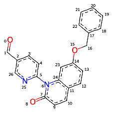 O=Cc1ccc(-n2c(=O)ccc3ccc(OCc4ccccc4)cc32)nc1